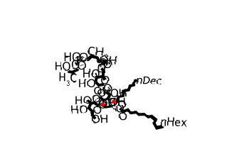 CCCCCC/C=C\C/C=C\CCCCCCC(=O)OC[C@H](CO[C@@H]1OC(CO)[C@@H](O)C(O)[C@@H]1O[C@@H]1OC(O[C@H]2OC(COP(=O)(O)CC[C@@H](C)COP(=O)(O)OC[C@@H](C)CO)[C@H](O)C(O)[C@H]2O)[C@H](O)C(O)[C@H]1O)OC(=O)CCCCCCCCCCCCCCCCC